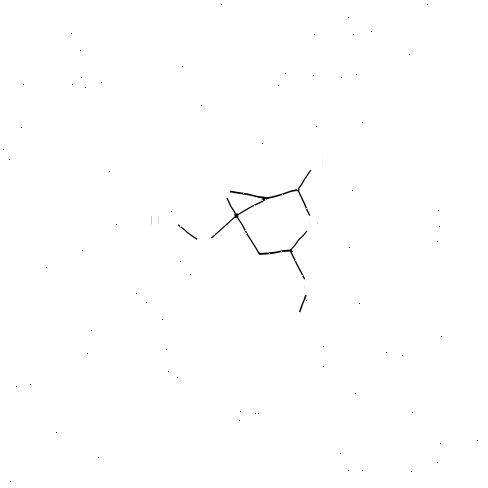 COC1CC2(OC)OC2C(C)O1